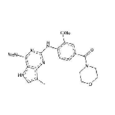 CNc1nc(Nc2ccc(C(=O)N3CCOCC3)cc2OC)nc2c(C)c[nH]c12